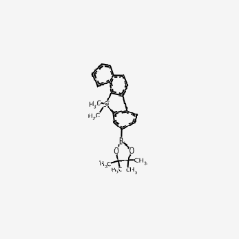 CC1(C)OB(c2ccc3c(c2)[Si](C)(C)c2c-3ccc3ccccc23)OC1(C)C